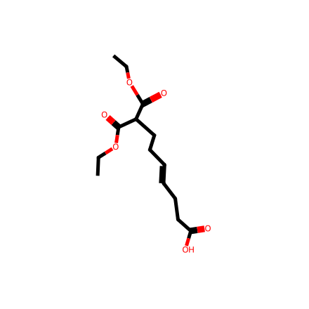 CCOC(=O)C(CCC=CCCC(=O)O)C(=O)OCC